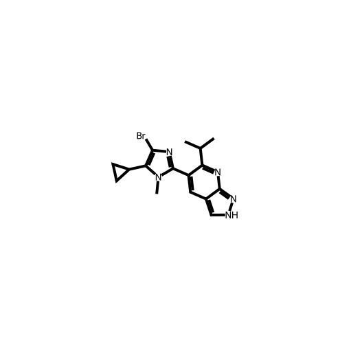 CC(C)c1nc2n[nH]cc2cc1-c1nc(Br)c(C2CC2)n1C